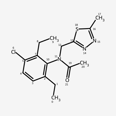 CCc1ccc(Cl)c(CC)c1N(Cc1nnc(C)s1)C(C)=O